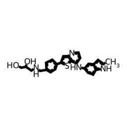 Cc1cc2cc(Nc3ccnc4cc(-c5ccc(CNCC(O)CO)cc5)sc34)ccc2[nH]1